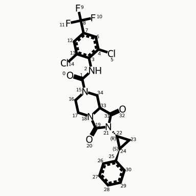 O=C(Nc1c(Cl)cc(C(F)(F)F)cc1Cl)N1CCN2C(=O)N([C@@H]3C[C@H]3c3ccccc3)C(=O)C2C1